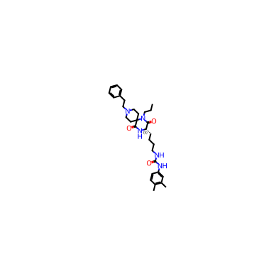 CCCN1C(=O)[C@H](CCCCNC(=O)Nc2ccc(C)c(C)c2)NC(=O)C12CCN(CCc1ccccc1)CC2